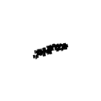 Cc1nnnn1Cc1cc(Oc2ccc3c(ccn3C(=O)Nc3ccc(F)c(C(F)(F)F)c3)c2)ncn1